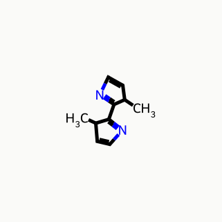 CC1C=CN=C1C1=NC=CC1C